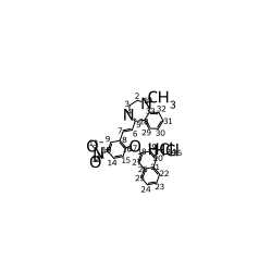 CN1CCN=C(C=Cc2cc([N+](=O)[O-])ccc2Oc2ccc3ccccc3c2)c2ccccc21.Cl.Cl